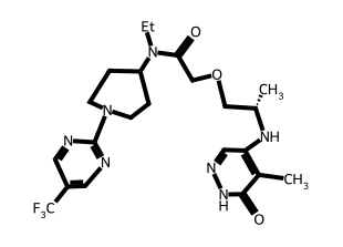 CCN(C(=O)COC[C@H](C)Nc1cn[nH]c(=O)c1C)C1CCN(c2ncc(C(F)(F)F)cn2)CC1